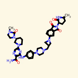 C=C1CCC(N2C(=O)c3ccc(N4CC(CN5CCN(c6ccc(Nc7nc(N8CCC[C@@H](N9CCN(C)C9=O)C8)cnc7C(N)=O)cc6)CC5)C4)cc3C2=O)C(=O)N1